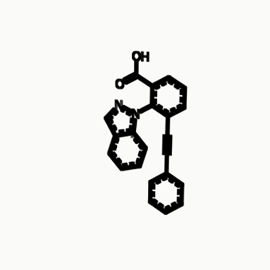 O=C(O)c1cccc(C#Cc2ccccc2)c1-n1ncc2ccccc21